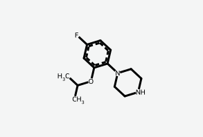 CC(C)Oc1cc(F)ccc1N1CCNCC1